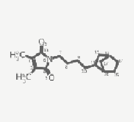 CC1=C(C)C(=O)N(CCCCC2CC3CCC2C3)C1=O